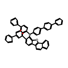 c1ccc(-c2ccc(-c3ccc(N(c4ccc(-c5ccccc5)cc4)c4c(-c5cccc(-c6ccccc6)c5)ccc5c4oc4c6ccccc6ccc54)cc3)cc2)cc1